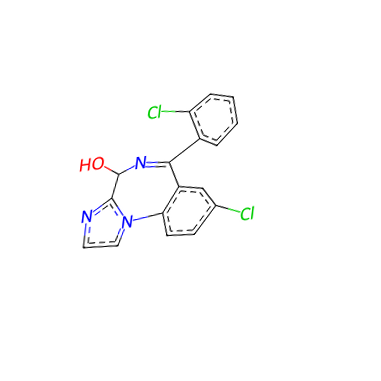 OC1N=C(c2ccccc2Cl)c2cc(Cl)ccc2-n2ccnc21